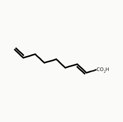 C=CCCCCC=CC(=O)O